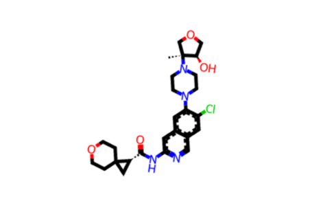 C[C@]1(N2CCN(c3cc4cc(NC(=O)[C@@H]5CC56CCOCC6)ncc4cc3Cl)CC2)COC[C@H]1O